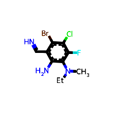 CCN(C)c1c(N)c(C=N)c(Br)c(Cl)c1F